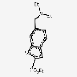 CCOC(=O)c1cc2ccc(CN(CC)CC)cc2o1